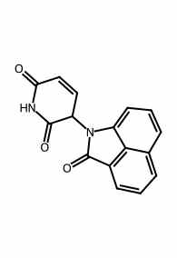 O=C1C=CC(N2C(=O)c3cccc4cccc2c34)C(=O)N1